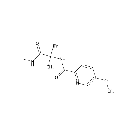 CC(C)C(C)(NC(=O)c1ccc(OC(F)(F)F)cn1)C(=O)NI